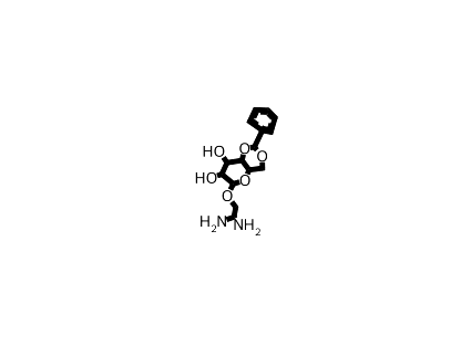 NC(N)COC1OC2COC(c3ccccc3)OC2C(O)C1O